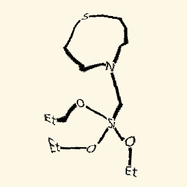 CCO[Si](CN1CCSCC1)(OCC)OCC